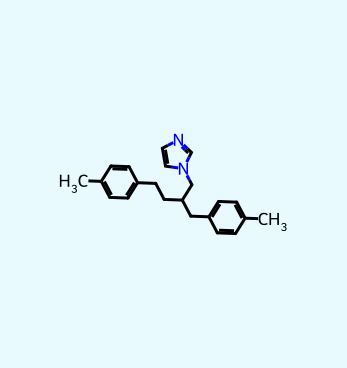 Cc1ccc(CCC(Cc2ccc(C)cc2)Cn2ccnc2)cc1